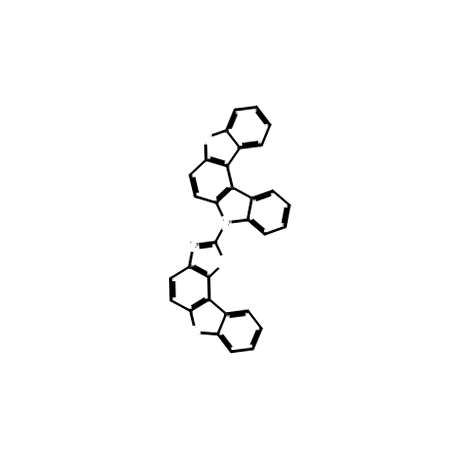 c1ccc2c(c1)oc1ccc3c(c4ccccc4n3-c3nc4ccc5sc6ccccc6c5c4o3)c12